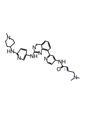 CN(C)C/C=C/C(=O)Nc1ccnc(-c2cccc3cnc(Nc4ccc(NC5CCN(C)CC5)nc4)nc23)c1